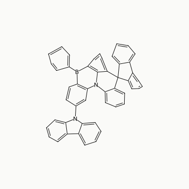 c1ccc(B2c3ccc(-n4c5ccccc5c5ccccc54)cc3N3c4ccccc4C4(c5ccccc5-c5ccccc54)c4cccc2c43)cc1